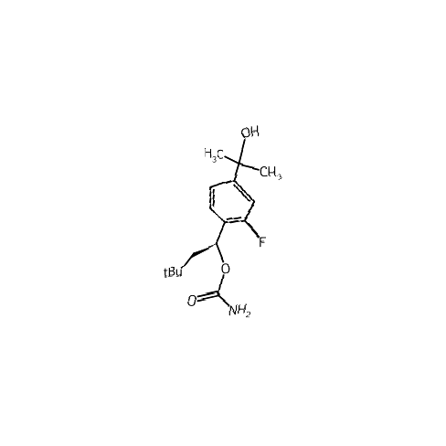 CC(C)(C)C[C@H](OC(N)=O)c1ccc(C(C)(C)O)cc1F